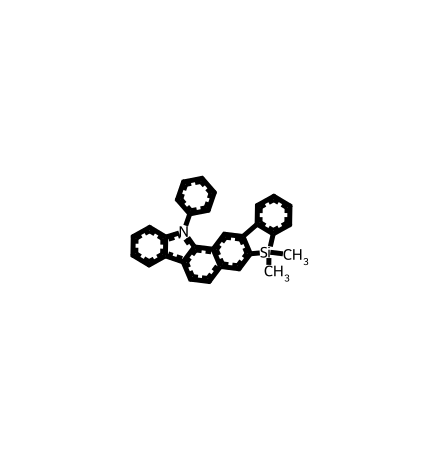 C[Si]1(C)c2ccccc2-c2cc3c(ccc4c5ccccc5n(-c5ccccc5)c34)cc21